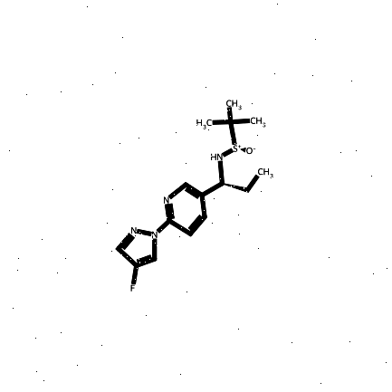 CC[C@H](N[S@+]([O-])C(C)(C)C)c1ccc(-n2cc(F)cn2)nc1